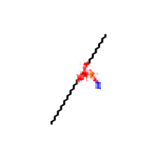 CCCCCCCCCCCCCCCCCCC(=O)O[C@H](COC(=O)CCCCCCCCCCCC)COP(=O)(O)OCC[N+](C)(C)C